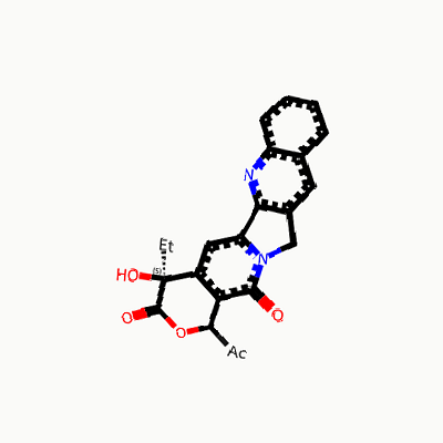 CC[C@@]1(O)C(=O)OC(C(C)=O)c2c1cc1n(c2=O)Cc2cc3ccccc3nc2-1